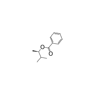 CC(C)[C@@H](C)OC(=O)c1ccccc1